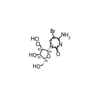 Cl.Nc1nc(=O)n([C@@H]2O[C@H](CO)[C@@H](O)[C@H]2Cl)cc1Br